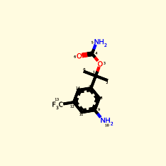 CC(C)(OC(N)=O)c1cc(N)cc(C(F)(F)F)c1